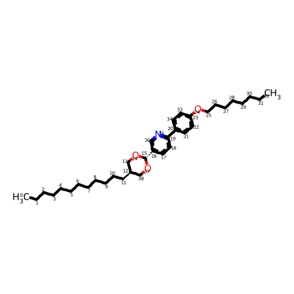 CCCCCCCCCCCC[C@H]1CO[C@H](c2ccc(-c3ccc(OCCCCCCCC)cc3)nc2)OC1